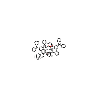 C/C=C\C1=C(C)B2c3cc4c(cc3N(c3ccccc3-c3ccccc3)c3cc(N(c5ccccc5)c5ccccc5)cc(c32)N1c1ccccc1)Sc1cc(N(c2ccccc2)c2ccccc2)cc2c1B4N(c1ccccc1)c1ccccc1-2